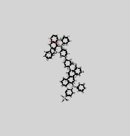 C[Si](C)(C)c1ccc(N(c2ccccc2)c2cc3c4cccc5c4c(cc3c3ccccc23)-c2ccc(-c3ccc(N(c4ccccc4-c4ccccc4)c4cccc6c4oc4ccccc46)cc3)cc2O5)cc1